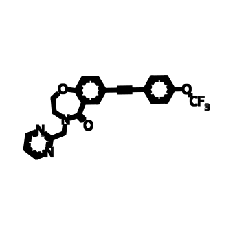 O=C1c2cc(C#Cc3ccc(OC(F)(F)F)cc3)ccc2OCCN1Cc1ncccn1